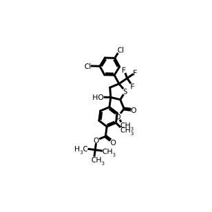 COC(=O)C1SC(c2cc(Cl)cc(Cl)c2)(C(F)(F)F)CC1(O)c1ccc(C(=O)OC(C)(C)C)c(C)c1